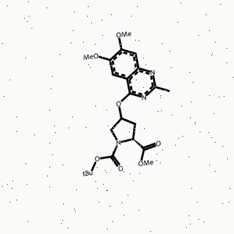 COC(=O)[C@@H]1CC(Oc2nc(C)nc3cc(OC)c(OC)cc23)CN1C(=O)OC(C)(C)C